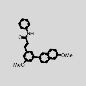 COc1cc(C=CC(=O)Nc2ccccc2)cc(-c2ccc3cc(OC)ccc3c2)c1